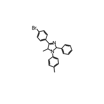 Cc1ccc(N2C(C)C(c3ccc(Br)cc3)=NC2c2ccccc2)cc1